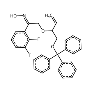 C=CC(COC(c1ccccc1)(c1ccccc1)c1ccccc1)OC/C(=N/O)c1cccc(F)c1F